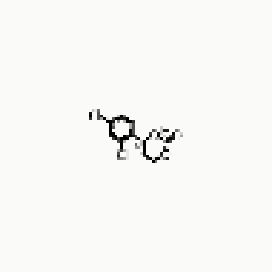 O=[PH]1OCC[C@@H](c2ccc(Cl)cc2Cl)O1